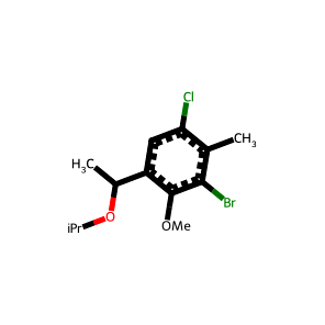 COc1c(C(C)OC(C)C)cc(Cl)c(C)c1Br